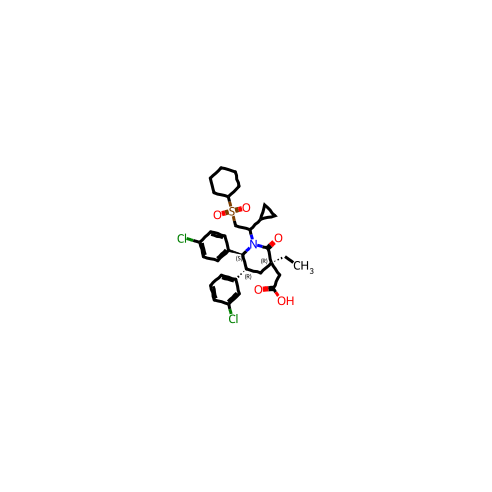 CC[C@]1(CC(=O)O)C[C@H](c2cccc(Cl)c2)[C@@H](c2ccc(Cl)cc2)N(C(CS(=O)(=O)C2CCCCC2)C2CC2)C1=O